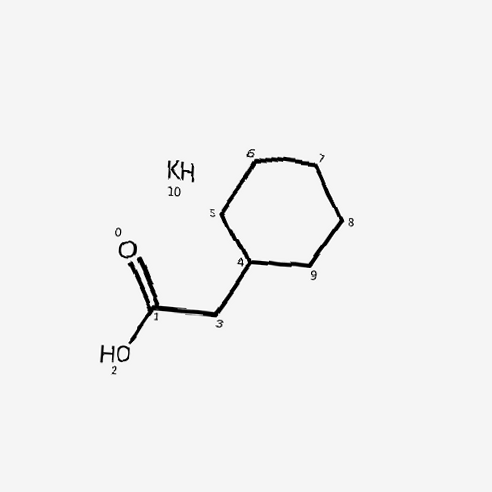 O=C(O)CC1CCCCC1.[KH]